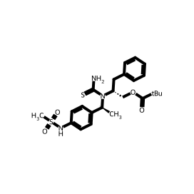 C[C@@H](c1ccc(NS(C)(=O)=O)cc1)N(C(N)=S)[C@@H](COC(=O)C(C)(C)C)Cc1ccccc1